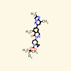 Cc1cn2nc(-c3cc(C)c4c(=O)n(C5CCN(C(=O)OC(C)(C)C)C6(CC6)C5)ncc4c3)cc(C)c2n1